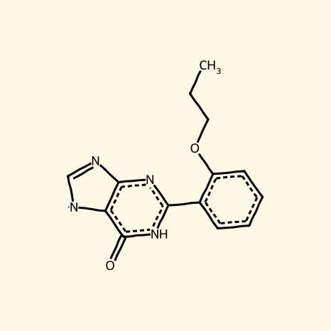 CCCOc1ccccc1-c1nc2c(c(=O)[nH]1)[N]C=N2